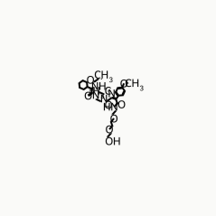 C[CH]C(=O)N[C@H](C(=O)N1CCN(C(=O)c2c(C(=O)NCCOCCOCCO)c3ccc(OC)cc3n2C)CC1)C1CCCCC1